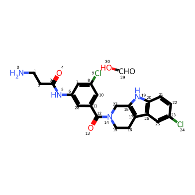 NCCC(=O)Nc1cc(Cl)cc(C(=O)N2CCc3c([nH]c4ccc(Cl)cc34)C2)c1.O=CO